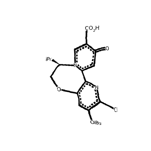 CC(C)COc1cc2c(nc1Cl)-c1cc(=O)c(C(=O)O)cn1[C@H](C(C)C)CO2